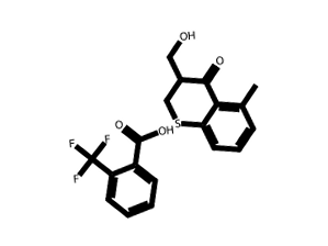 Cc1cccc2c1C(=O)C(CO)CS2.O=C(O)c1ccccc1C(F)(F)F